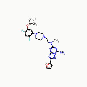 C[C@H](Oc1cc(N2CCN(CCN(C)c3nc(N)n4nc(-c5ccco5)nc4n3)CC2)c(F)cc1F)C(=O)O